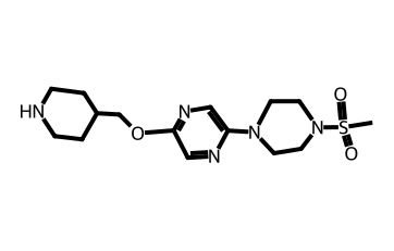 CS(=O)(=O)N1CCN(c2cnc(OCC3CCNCC3)cn2)CC1